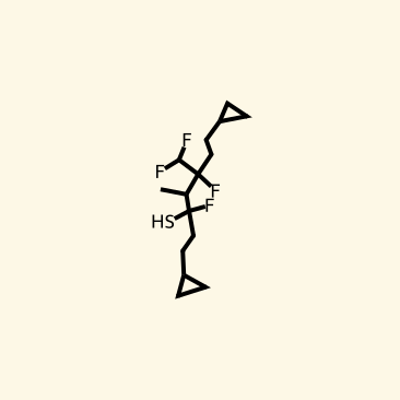 CC(C(F)(S)CCC1CC1)C(F)(CCC1CC1)C(F)F